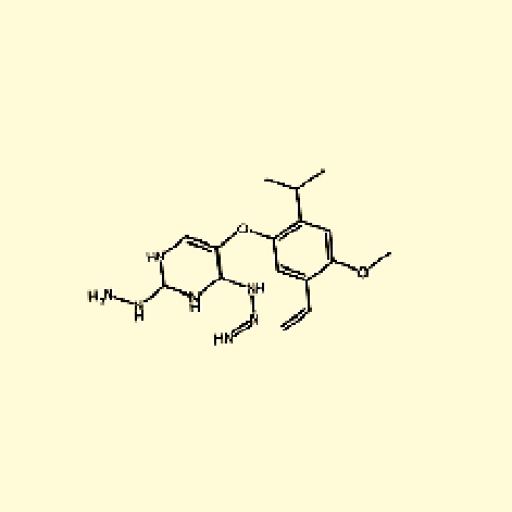 C=Cc1cc(OC2=CNC(NN)NC2NN=N)c(C(C)C)cc1OC